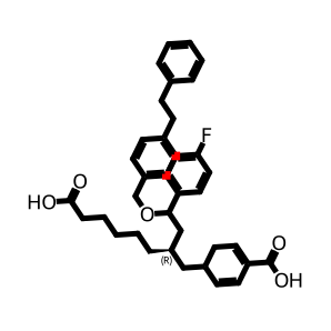 O=C(O)CCCCC[C@H](CC1C=CC(C(=O)O)=CC1)CC(OCc1ccc(CCc2ccccc2)cc1)c1ccc(F)cc1